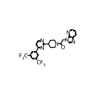 O=C(Cn1cnc2cccnc21)N1CCC(c2nccc(-c3cc(C(F)(F)F)cc(C(F)(F)F)c3)n2)CC1